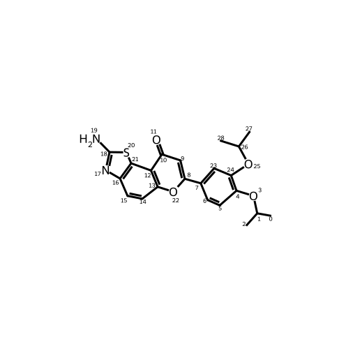 CC(C)Oc1ccc(-c2cc(=O)c3c(ccc4nc(N)sc43)o2)cc1OC(C)C